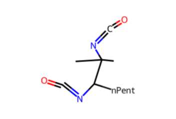 CCCCCC(N=C=O)C(C)(C)N=C=O